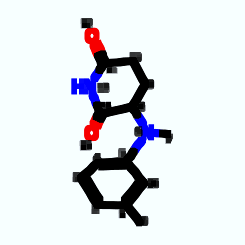 Cc1cccc(N(C)C2CCC(=O)NC2=O)c1